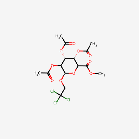 COC(=O)C1O[C@@H](OCC(Cl)(Cl)Cl)C(OC(C)=O)[C@H](OC(C)=O)[C@@H]1OC(C)=O